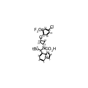 CC(C)(C)C(c1cccn2ccnc12)N(C(=O)O)[C@H]1C[C@H](Oc2ccc(Cl)cc2C(F)(F)F)C1